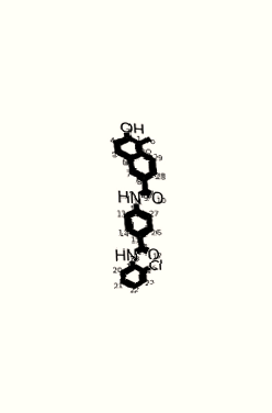 Cc1c(O)ccc2cc(C(=O)Nc3ccc(C(=O)Nc4ccccc4Cl)cc3)ccc12